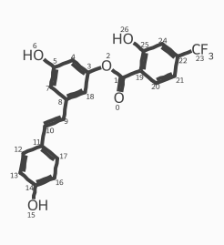 O=C(Oc1cc(O)cc(/C=C/c2ccc(O)cc2)c1)c1ccc(C(F)(F)F)cc1O